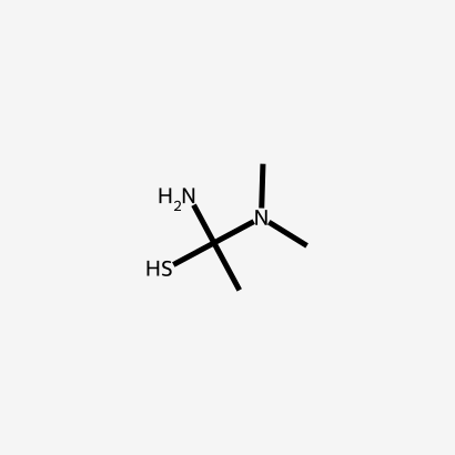 CN(C)C(C)(N)S